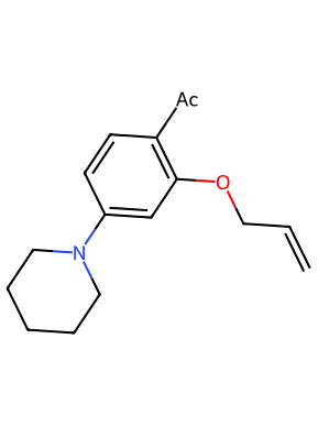 C=CCOc1cc(N2CCCCC2)ccc1C(C)=O